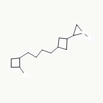 CB1CC1C1CC(CCCCC2CCC2C)C1